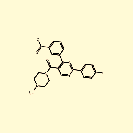 CN1CCN(C(=O)c2cnc(-c3ccc(Cl)cc3)nc2-c2cccc([N+](=O)[O-])c2)CC1